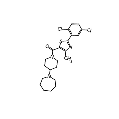 Cc1nc(-c2cc(Cl)ccc2Cl)sc1C(=O)N1CCC(N2CCCCCC2)CC1